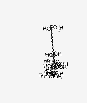 CCCC[C@H](CCC[C@H](O)[C@@H](O)CCCCCCCCCCCCCC[C@H](O)C(=O)O)O[C@H]1OC[C@H](O)[C@@H](O)[C@@H]1O[C@H]1OC[C@H](O)[C@@H](O)[C@@H]1O[C@H]1O[C@@H](COC(=O)CC(C)C)[C@H](O)[C@@H](O)[C@@H]1O